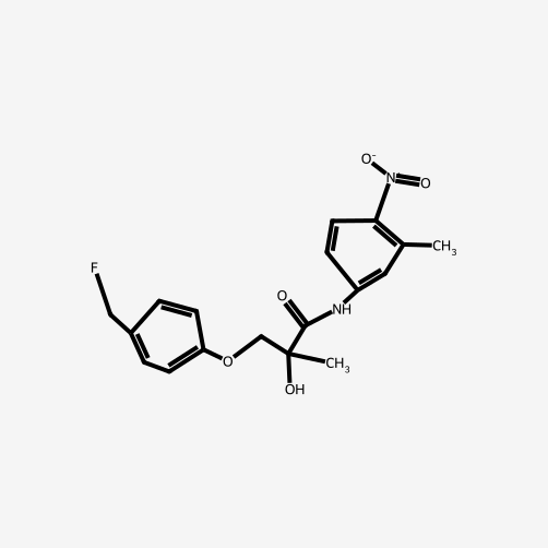 Cc1cc(NC(=O)C(C)(O)COc2ccc(CF)cc2)ccc1[N+](=O)[O-]